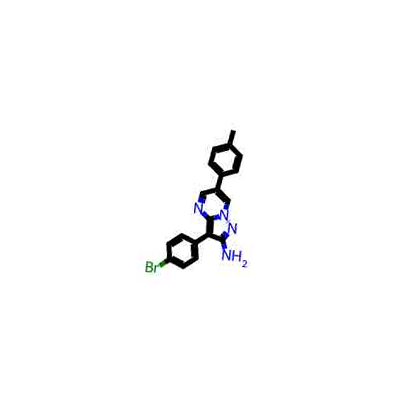 Cc1ccc(-c2cnc3c(-c4ccc(Br)cc4)c(N)nn3c2)cc1